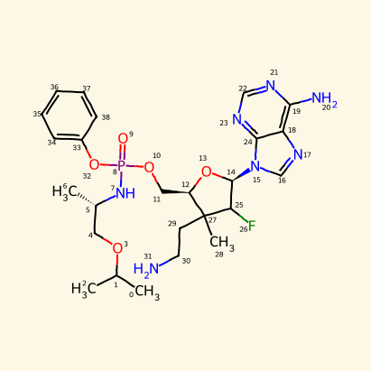 CC(C)OC[C@H](C)NP(=O)(OC[C@H]1O[C@@H](n2cnc3c(N)ncnc32)C(F)C1(C)CCN)Oc1ccccc1